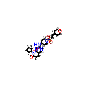 C[C@@]1(O)CCC[C@H]1n1c(=O)ccc2cnc(NC3CCN(S(=O)(=O)CC=C4CCOCC4)CC3)nc21